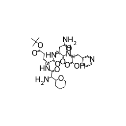 CC(C)(C)OC(=O)CC[C@H](NC(=O)C(N)C1CCCCO1)C(=O)N[C@@H](CC(N)=O)C(=O)N[C@@H](Cc1cccnc1)C(=O)O